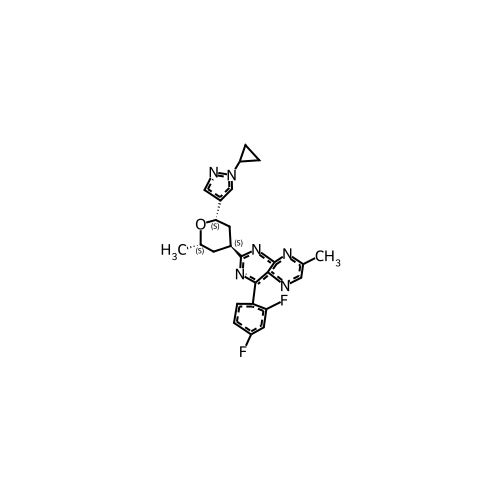 Cc1cnc2c(-c3ccc(F)cc3F)nc([C@@H]3C[C@@H](c4cnn(C5CC5)c4)O[C@@H](C)C3)nc2n1